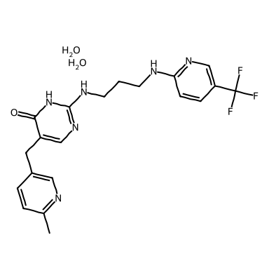 Cc1ccc(Cc2cnc(NCCCNc3ccc(C(F)(F)F)cn3)[nH]c2=O)cn1.O.O